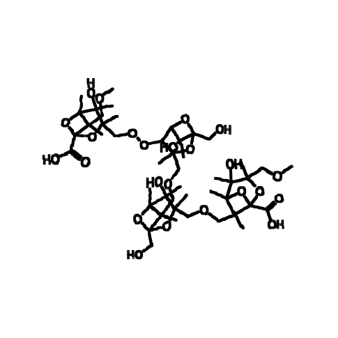 COCC1(C)OC2(C(=O)O)OC(C)(C1(C)O)C2(C)COCC1(C)OC2(CO)OC(C)(C1(C)O)C2(C)COCC1(C)OC2(CO)OC(C1OOCC1(C)OC3(C(=O)O)OC(C)(C1(C)O)C3(C)COC)C2(C)O